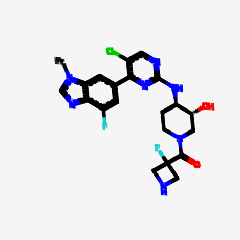 CC(C)n1cnc2c(F)cc(-c3nc(N[C@@H]4CCN(C(=O)C5(F)CNC5)C[C@H]4O)ncc3Cl)cc21